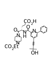 CCOC(=O)N1CCN(C(=O)[C@H](CCC(=O)O)NC(=O)c2cc(C#CC(C)(C)O)cc(-c3ccccc3)n2)CC1